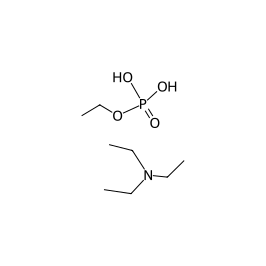 CCN(CC)CC.CCOP(=O)(O)O